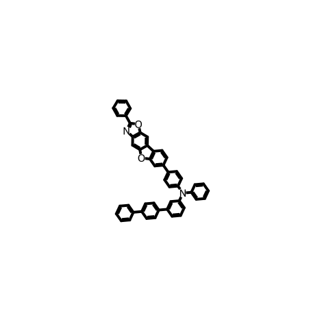 c1ccc(-c2ccc(-c3cccc(N(c4ccccc4)c4ccc(-c5ccc6c(c5)oc5cc7nc(-c8ccccc8)oc7cc56)cc4)c3)cc2)cc1